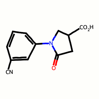 N#Cc1cccc(N2CC(C(=O)O)CC2=O)c1